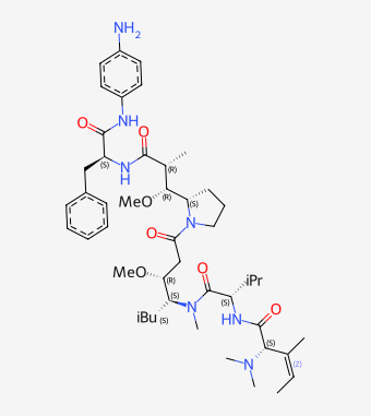 C/C=C(/C)[C@@H](C(=O)N[C@H](C(=O)N(C)[C@@H]([C@@H](C)CC)[C@@H](CC(=O)N1CCC[C@H]1[C@H](OC)[C@@H](C)C(=O)N[C@@H](Cc1ccccc1)C(=O)Nc1ccc(N)cc1)OC)C(C)C)N(C)C